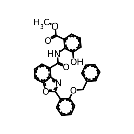 COC(=O)c1cccc(O)c1NC(=O)c1cccc2oc(-c3ccccc3OCc3ccccc3)nc12